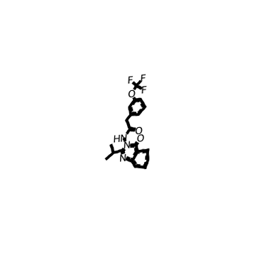 CC(C)c1nc2ccccc2c(=O)n1NC(=O)Cc1cccc(OC(F)(F)F)c1